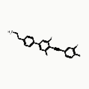 CCCc1ccc(-c2cc(F)c(C#Cc3ccc(F)c(F)c3)c(F)c2)cc1